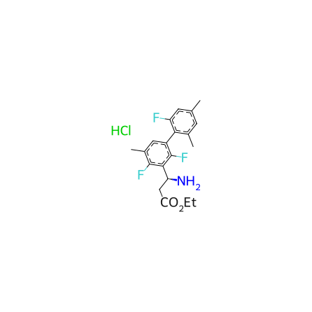 CCOC(=O)C[C@H](N)c1c(F)c(C)cc(-c2c(C)cc(C)cc2F)c1F.Cl